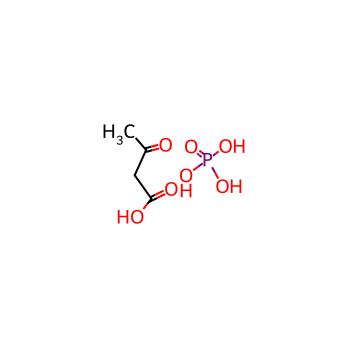 CC(=O)CC(=O)O.O=P(O)(O)O